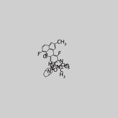 Cc1cc(-c2c(Cl)cc3c(N4CC5CCC(C4)N5C(=O)OC(C)(C)C)nc(Cl)nc3c2F)c2c(F)c(F)ccc2c1